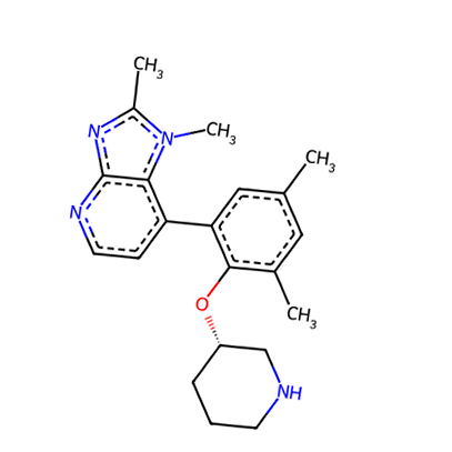 Cc1cc(C)c(O[C@H]2CCCNC2)c(-c2ccnc3nc(C)n(C)c23)c1